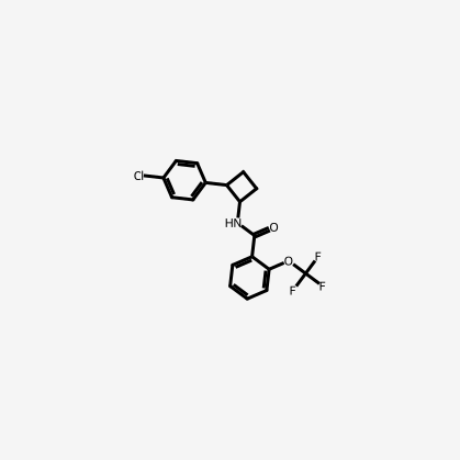 O=C(NC1CCC1c1ccc(Cl)cc1)c1ccccc1OC(F)(F)F